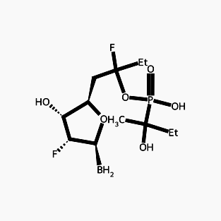 B[C@@H]1O[C@H](CC(F)(CC)OP(=O)(O)C(C)(O)CC)[C@@H](O)[C@H]1F